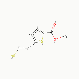 COC(=O)c1ccc(CCS)s1